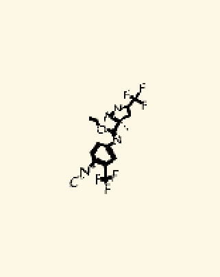 [C-]#[N+]c1ccc(/N=C(\OCC)[C@]2(C)CC(C(F)(F)F)N=N2)cc1C(F)(F)F